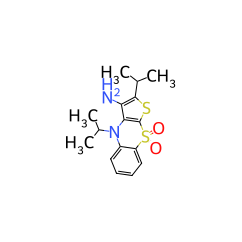 CC(C)c1sc2c(c1N)N(C(C)C)c1ccccc1S2(=O)=O